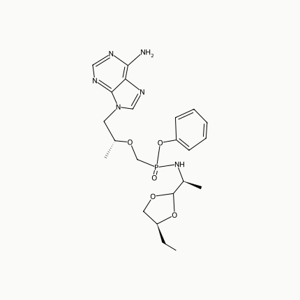 CC[C@H]1COC([C@H](C)NP(=O)(CO[C@H](C)Cn2cnc3c(N)ncnc32)Oc2ccccc2)O1